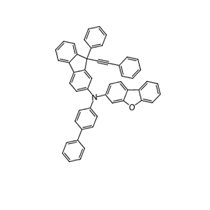 C(#CC1(c2ccccc2)c2ccccc2-c2ccc(N(c3ccc(-c4ccccc4)cc3)c3ccc4c(c3)oc3ccccc34)cc21)c1ccccc1